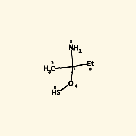 CCC(C)(N)OS